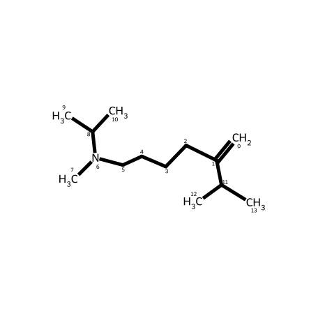 C=C(CCCCN(C)C(C)C)C(C)C